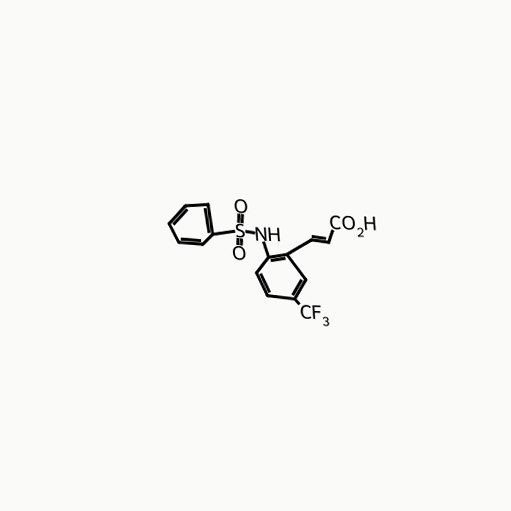 O=C(O)C=Cc1cc(C(F)(F)F)ccc1NS(=O)(=O)c1ccccc1